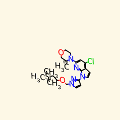 C[C@@H]1COCCN1c1cc(Cl)c2ccn(-c3ccn(COCC[Si](C)(C)C)n3)c2n1